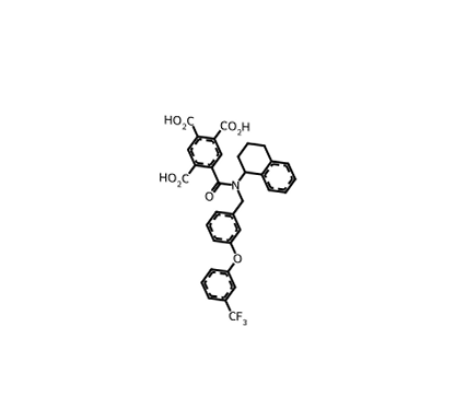 O=C(O)c1cc(C(=O)O)c(C(=O)N(Cc2cccc(Oc3cccc(C(F)(F)F)c3)c2)C2CCCc3ccccc32)cc1C(=O)O